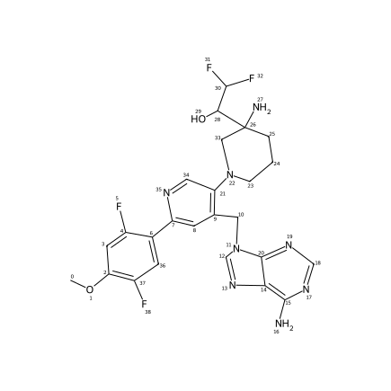 COc1cc(F)c(-c2cc(Cn3cnc4c(N)ncnc43)c(N3CCCC(N)(C(O)C(F)F)C3)cn2)cc1F